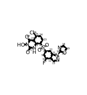 O=c1[nH]c2c(S(=O)(=O)c3cc(F)c4cnn(-c5ncco5)c4c3)ccc(Cl)c2c(=O)n1O